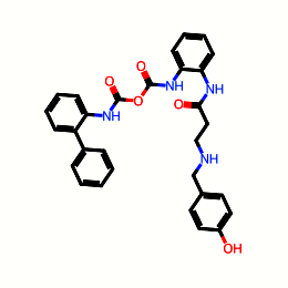 O=C(CCNCc1ccc(O)cc1)Nc1ccccc1NC(=O)OC(=O)Nc1ccccc1-c1ccccc1